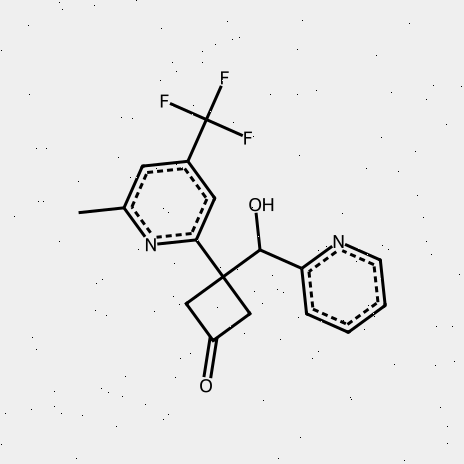 Cc1cc(C(F)(F)F)cc(C2(C(O)c3ccccn3)CC(=O)C2)n1